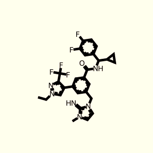 CCn1cc(-c2cc(Cn3ccn(C)c3=N)cc(C(=O)NC(c3ccc(F)c(F)c3)C3CC3)c2)c(C(F)(F)F)n1